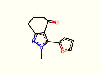 Cn1nc2c(c1-c1ccco1)C(=O)CCC2